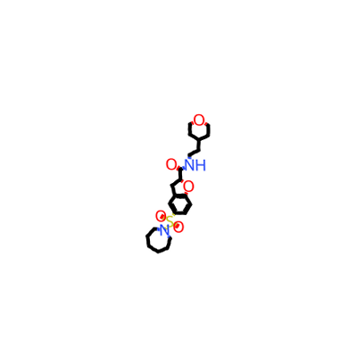 O=C(NCCC1CCOCC1)C1Cc2cc(S(=O)(=O)N3CCCCCC3)ccc2O1